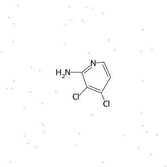 Nc1nccc(Cl)c1Cl